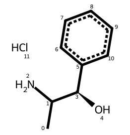 CC(N)[C@H](O)c1ccccc1.Cl